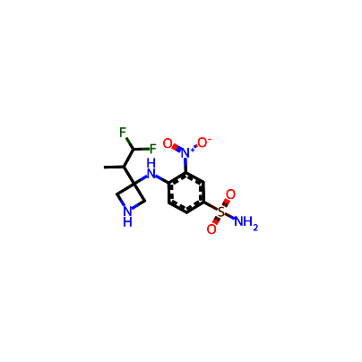 CC(C(F)F)C1(Nc2ccc(S(N)(=O)=O)cc2[N+](=O)[O-])CNC1